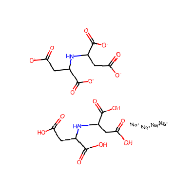 O=C(O)CC(NC(CC(=O)O)C(=O)O)C(=O)O.O=C([O-])CC(NC(CC(=O)[O-])C(=O)[O-])C(=O)[O-].[Na+].[Na+].[Na+].[Na+]